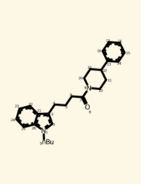 CCCCn1cc(CCCC(=O)N2CCC(c3ccccc3)CC2)c2ccccc21